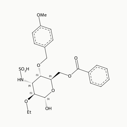 CCO[C@H]1[C@H](NS(=O)(=O)O)[C@H](OCc2ccc(OC)cc2)[C@@H](COC(=O)c2ccccc2)O[C@@H]1O